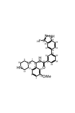 COc1cccc(C(CN2CCNCC2)NC(=O)c2cccc(-c3ccc4[nH]nc(F)c4c3)c2)c1